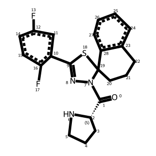 O=C([C@@H]1CCCN1)N1N=C(c2cc(F)ccc2F)SC12CCCc1ccccc12